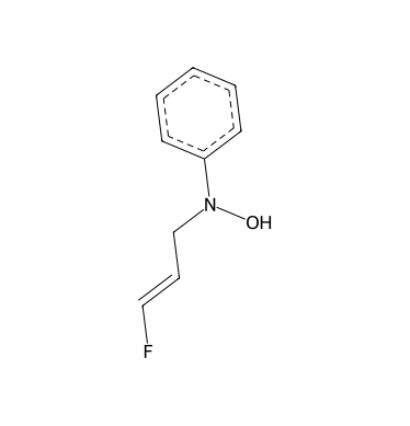 ON(CC=CF)c1ccccc1